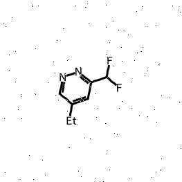 CCc1cnnc(C(F)F)c1